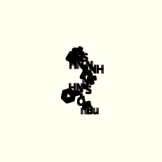 C=C(CCCC)OC[C@@H](NC(=S)N1Cc2c(NC(=S)C3([Si](C)(C)C)CCC3)n[nH]c2C1(C)C)c1ccccc1